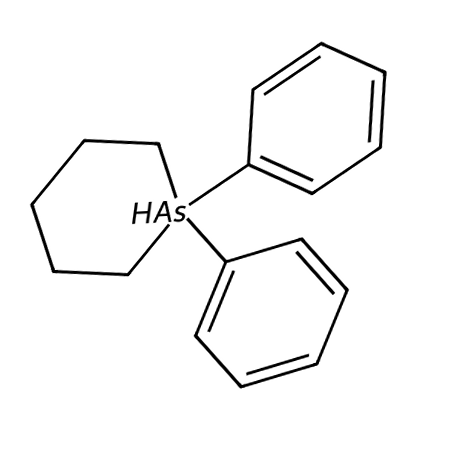 c1ccc([AsH]2(c3ccccc3)CCCCC2)cc1